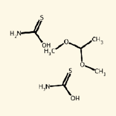 COC(C)OC.NC(O)=S.NC(O)=S